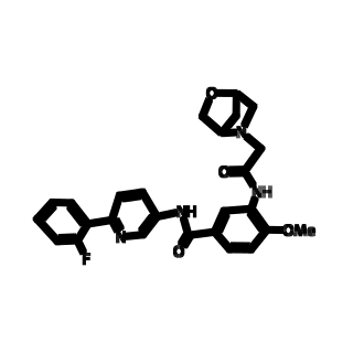 COc1ccc(C(=O)Nc2ccc(-c3ccccc3F)nc2)cc1NC(=O)CN1CC2CC1CO2